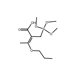 CCCOC(C)=C(C[Si](OC)(OC)OC)C(=O)O